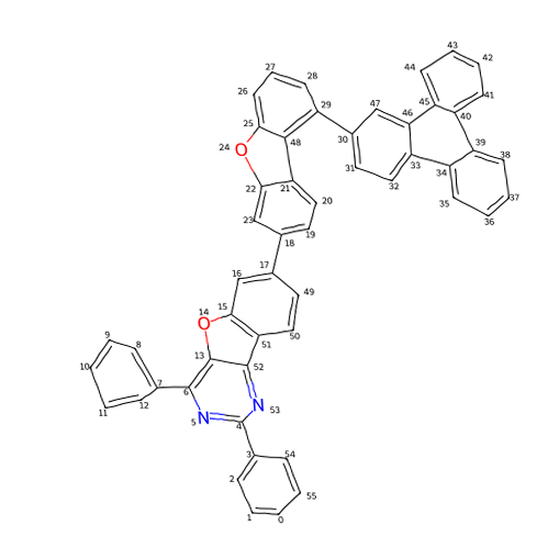 c1ccc(-c2nc(-c3ccccc3)c3oc4cc(-c5ccc6c(c5)oc5cccc(-c7ccc8c9ccccc9c9ccccc9c8c7)c56)ccc4c3n2)cc1